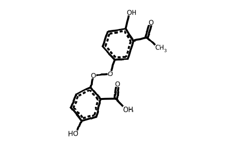 CC(=O)c1cc(OOc2ccc(O)cc2C(=O)O)ccc1O